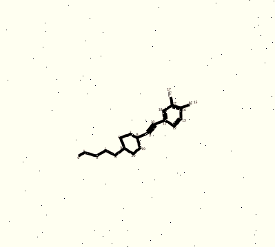 CCCCCC1CCC(C#Cc2ccc(F)c(F)c2)CC1